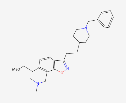 COCCc1ccc2c(CCC3CCN(Cc4ccccc4)CC3)noc2c1CN(C)C